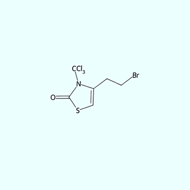 O=c1scc(CCBr)n1C(Cl)(Cl)Cl